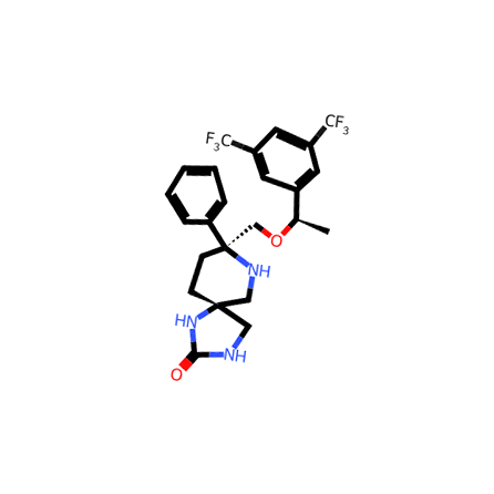 C[C@@H](OC[C@@]1(c2ccccc2)CC[C@]2(CNC(=O)N2)CN1)c1cc(C(F)(F)F)cc(C(F)(F)F)c1